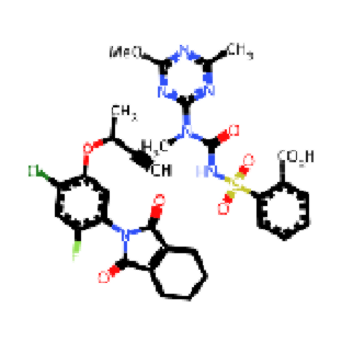 C#CC(C)Oc1cc(N2C(=O)C3=C(CCCC3)C2=O)c(F)cc1Cl.COc1nc(C)nc(N(C)C(=O)NS(=O)(=O)c2ccccc2C(=O)O)n1